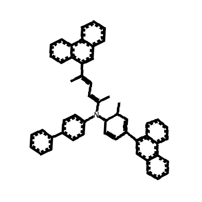 C/C(=C\C=C(/C)N(c1ccc(-c2ccccc2)cc1)C1C=CC(c2cc3ccccc3c3ccccc23)=CC1C)c1cc2ccccc2c2ccccc12